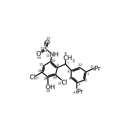 CC(C)c1cc(C(C)C)cc(C(C)c2c(N[SH](=O)=O)cc(Cl)c(O)c2Cl)c1